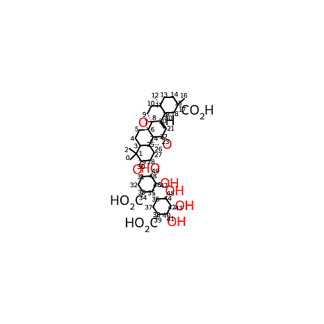 CC1(C)C2CC[C@@]34O[C@]35CC[C@@]3(C)CC[C@](C)(C(=O)O)C[C@H]3C5=CC(=O)C4[C@@]2(C)CC[C@@H]1O[C@@H]1C[C@H](C(=O)O)C([C@H]2C[C@H](C(=O)O)[C@@H](O)[C@@H](O)[C@H]2O)[C@H](O)[C@H]1O